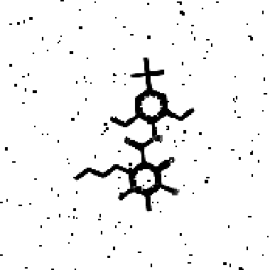 CCCCc1c(C(=O)Nc2c(CC)cc(C(C)(C)C)cc2CC)c(=O)c(Br)c(C)n1C